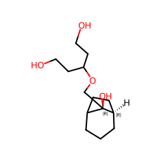 OCCC(CCO)OC[C@@]1(O)C2CCC[C@@H]1CC2